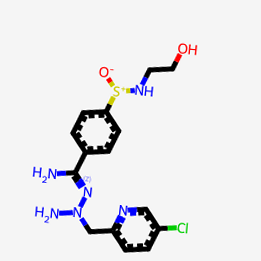 N/C(=N\N(N)Cc1ccc(Cl)cn1)c1ccc([S+]([O-])NCCO)cc1